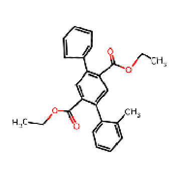 CCOC(=O)c1cc(-c2ccccc2C)c(C(=O)OCC)cc1-c1ccccc1